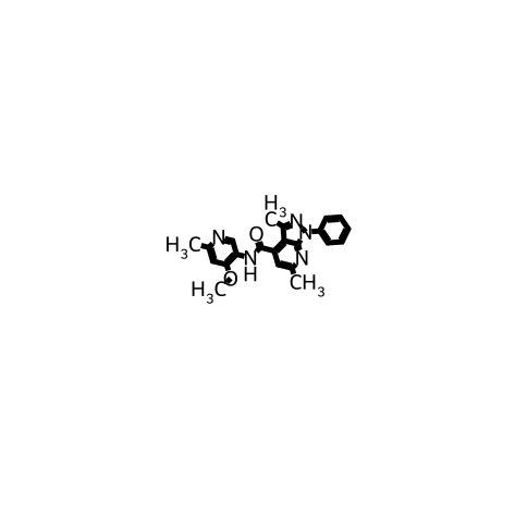 COc1cc(C)ncc1NC(=O)c1cc(C)nc2c1c(C)nn2-c1ccccc1